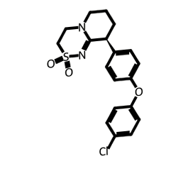 O=S1(=O)CCN2CCC[C@@H](c3ccc(Oc4ccc(Cl)cc4)cc3)C2=N1